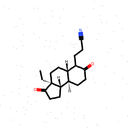 CC[C@]12CC[C@@H]3C(CCC#N)C(=O)CC[C@H]3[C@@H]1CCC2=O